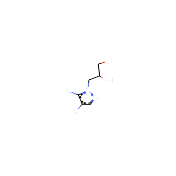 Nc1cnn(CC(O)CO)c1N